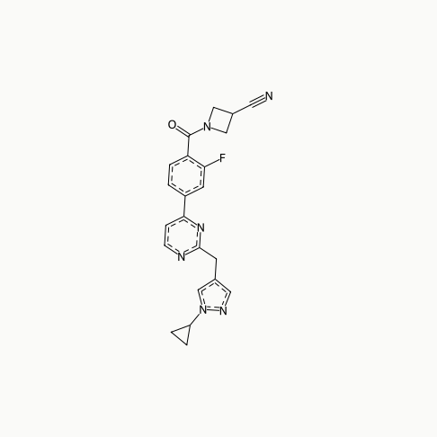 N#CC1CN(C(=O)c2ccc(-c3ccnc(Cc4cnn(C5CC5)c4)n3)cc2F)C1